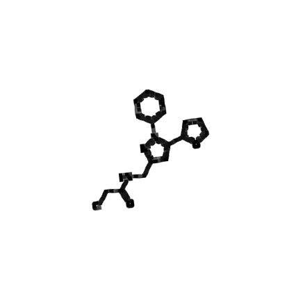 O=C(CCl)NCc1cc(-c2ccco2)n(-c2ccccc2)n1